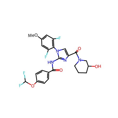 COc1cc(F)c(-n2cc(C(=O)N3CCCC(O)C3)nc2NC(=O)c2ccc(OC(F)F)cc2)c(F)c1